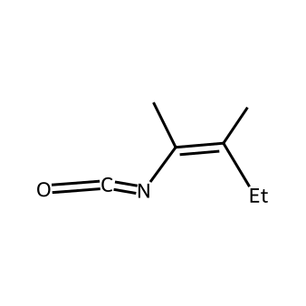 CCC(C)=C(C)N=C=O